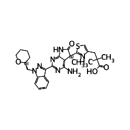 CC(C)(Cc1csc([C@]2(C)C(=O)Nc3nc(-c4nn(C[C@@H]5CCCCO5)c5ccccc45)nc(N)c32)n1)C(=O)O